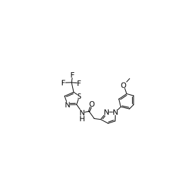 COc1cccc(-n2ccc(CC(=O)Nc3ncc(C(F)(F)F)s3)n2)c1